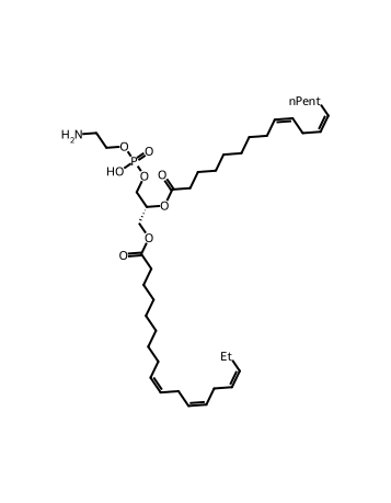 CC/C=C\C/C=C\C/C=C\CCCCCCCC(=O)OC[C@H](COP(=O)(O)OCCN)OC(=O)CCCCCCC/C=C\C/C=C\CCCCC